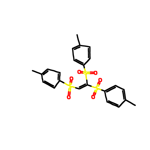 Cc1ccc(S(=O)(=O)C=C(S(=O)(=O)c2ccc(C)cc2)S(=O)(=O)c2ccc(C)cc2)cc1